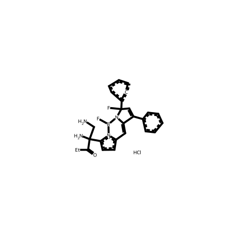 CCC(=O)C(N)(CN)c1ccc2n1B(F)N1C(=C2)C(c2ccccc2)=CC1(F)c1ccccc1.Cl